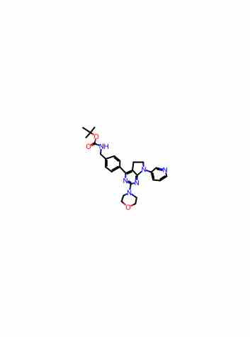 CC(C)(C)OC(=O)NCc1ccc(-c2nc(N3CCOCC3)nc3c2CCN3c2cccnc2)cc1